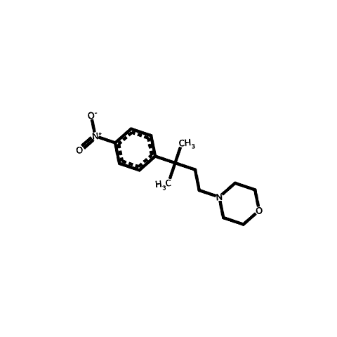 CC(C)(CCN1CCOCC1)c1ccc([N+](=O)[O-])cc1